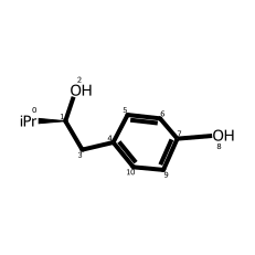 CC(C)[C@@H](O)Cc1ccc(O)cc1